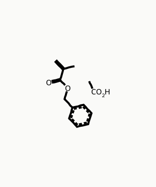 C=C(C)C(=O)OCc1ccccc1.CC(=O)O